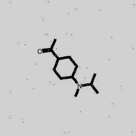 CC(=O)C1CCC(N(C)C(C)C)CC1